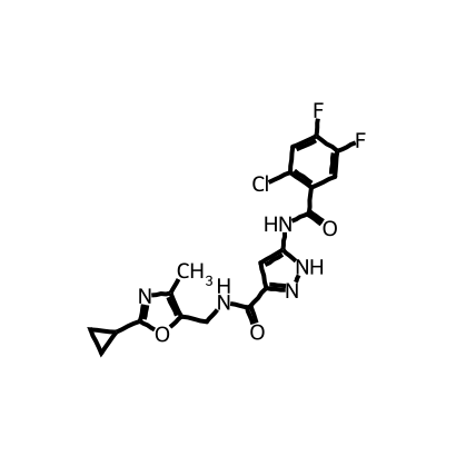 Cc1nc(C2CC2)oc1CNC(=O)c1cc(NC(=O)c2cc(F)c(F)cc2Cl)[nH]n1